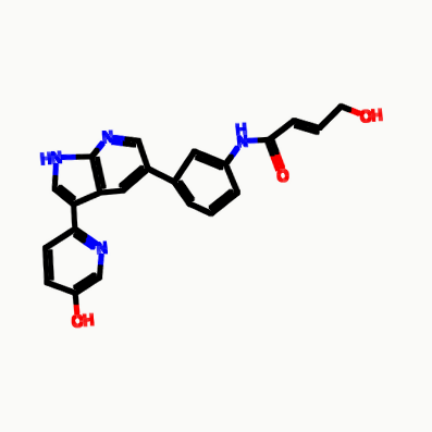 O=C(C=CCO)Nc1cccc(-c2cnc3[nH]cc(-c4ccc(O)cn4)c3c2)c1